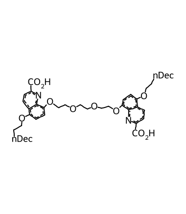 CCCCCCCCCCCCOc1ccc(OCCOCCOCCOc2ccc(OCCCCCCCCCCCC)c3ccc(C(=O)O)nc23)c2nc(C(=O)O)ccc12